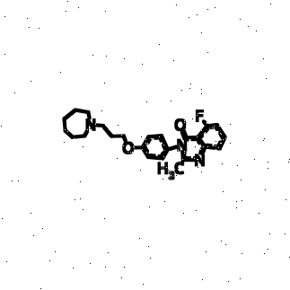 Cc1nc2cccc(F)c2c(=O)n1-c1ccc(OCCCN2CCCCCC2)cc1